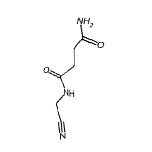 N#CCNC(=O)CCC(N)=O